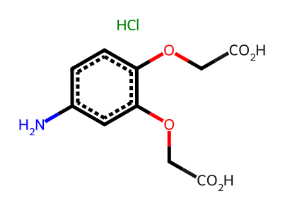 Cl.Nc1ccc(OCC(=O)O)c(OCC(=O)O)c1